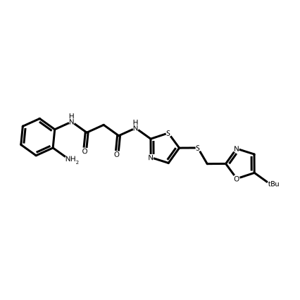 CC(C)(C)c1cnc(CSc2cnc(NC(=O)CC(=O)Nc3ccccc3N)s2)o1